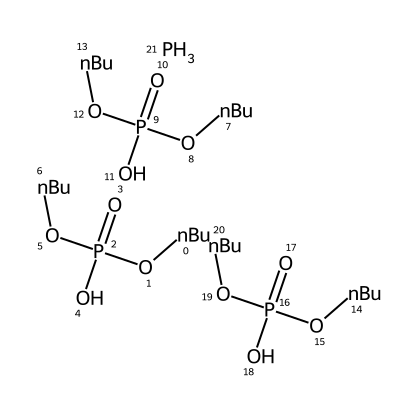 CCCCOP(=O)(O)OCCCC.CCCCOP(=O)(O)OCCCC.CCCCOP(=O)(O)OCCCC.P